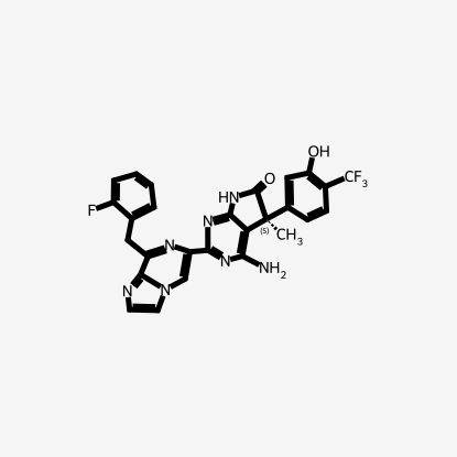 C[C@@]1(c2ccc(C(F)(F)F)c(O)c2)C(=O)Nc2nc(-c3cn4ccnc4c(Cc4ccccc4F)n3)nc(N)c21